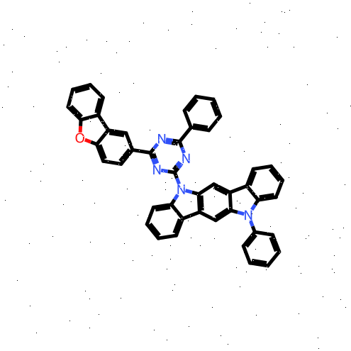 c1ccc(-c2nc(-c3ccc4oc5ccccc5c4c3)nc(-n3c4ccccc4c4cc5c(cc43)c3ccccc3n5-c3ccccc3)n2)cc1